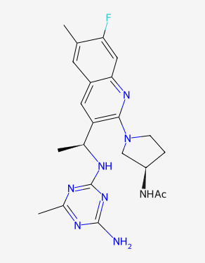 CC(=O)N[C@@H]1CCN(c2nc3cc(F)c(C)cc3cc2[C@H](C)Nc2nc(C)nc(N)n2)C1